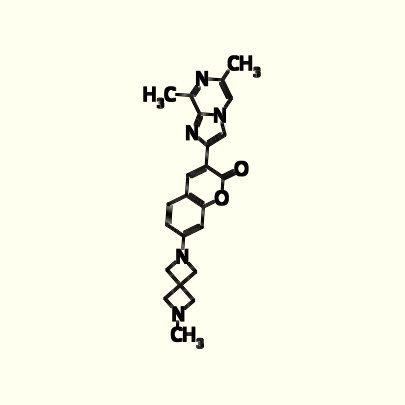 Cc1cn2cc(-c3cc4ccc(N5CC6(CN(C)C6)C5)cc4oc3=O)nc2c(C)n1